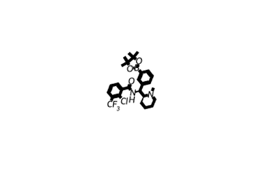 CN1CCCC[C@H]1[C@@H](NC(=O)c1cccc(C(F)(F)F)c1Cl)c1cccc(B2OC(C)(C)C(C)(C)O2)c1